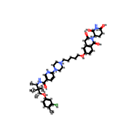 CC[C@@H](NC(=O)c1ccc(N2CCN(CCCCCOc3ccc4c(c3)CC(=O)N(C3CCC(=O)NC3=O)C4=O)CC2)nc1)C(C)(C)[C@@H](CC)Oc1ccc(C#N)c(Cl)c1